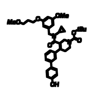 COCCCOc1cc(CN(C(=O)C2=C(c3cccc(-c4ccc(O)cc4)c3)CCN(C(=O)OC(C)(C)C)C2)C2CC2)cc(OC)c1